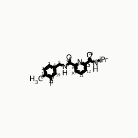 Cc1ccc(CNC(=O)c2cccc(C(=O)NC(C)C)n2)cc1F